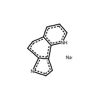 [Na].c1c[nH]c2c(c1)ccc1nccc12